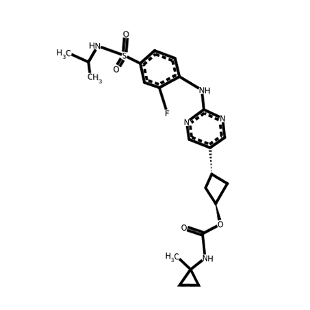 CC(C)NS(=O)(=O)c1ccc(Nc2ncc([C@H]3C[C@H](OC(=O)NC4(C)CC4)C3)cn2)c(F)c1